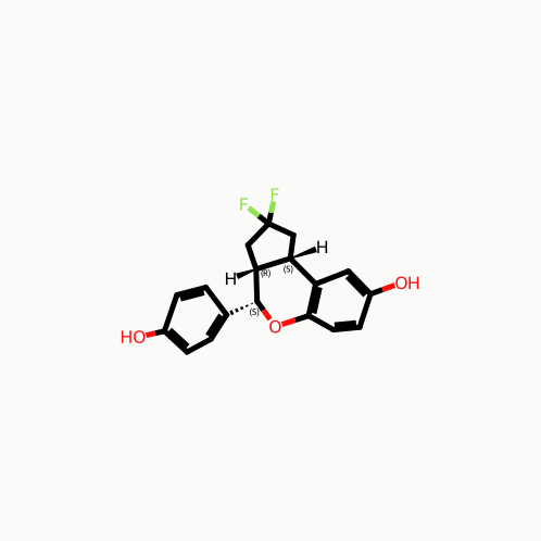 Oc1ccc([C@H]2Oc3ccc(O)cc3[C@H]3CC(F)(F)C[C@H]32)cc1